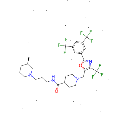 C[C@@H]1CCCN(CCCNC(=O)C2CCN(Cc3oc(-c4cc(C(F)(F)F)cc(C(F)(F)F)c4)nc3C(F)(F)F)CC2)C1